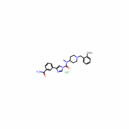 COc1ccccc1CN1CCC(N(C)C(=O)n2cnc(-c3cccc(C(N)=O)c3)c2)CC1.Cl